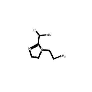 CCCCC(CC)C1=NCCN1CCN